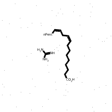 CCCCC/C=C\C/C=C\CCCCCCCC(=O)O.N=C(N)N